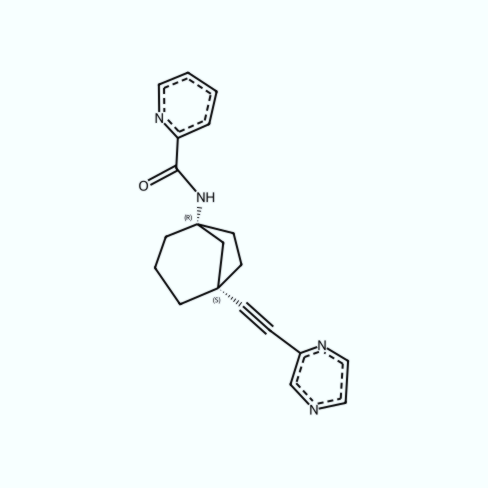 O=C(N[C@]12CCC[C@](C#Cc3cnccn3)(CC1)C2)c1ccccn1